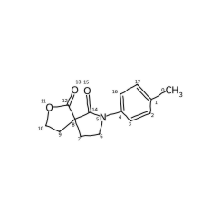 Cc1ccc(N2CCC3(CCOC3=O)C2=O)cc1